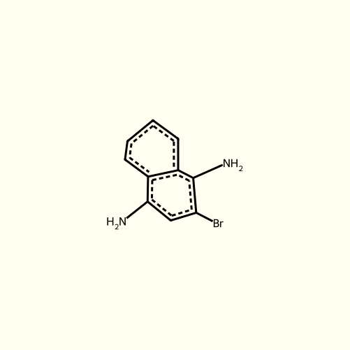 Nc1cc(Br)c(N)c2ccccc12